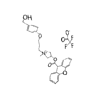 C[N+]1(CCCOc2ccc(CO)cc2)CCC(OC(=O)C2c3ccccc3Oc3ccccc32)C1.O=C([O-])C(F)(F)F